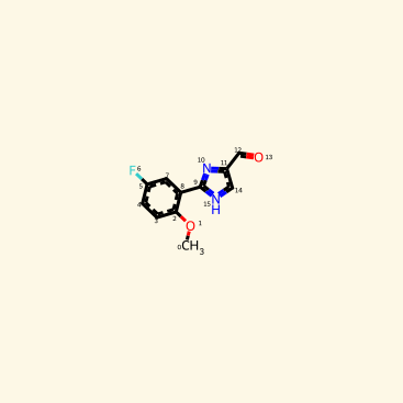 COc1ccc(F)cc1-c1nc(C=O)c[nH]1